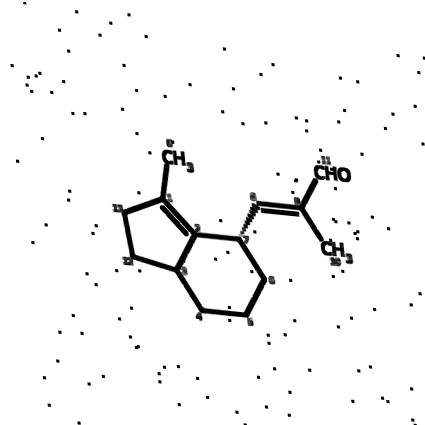 CC1=C2C(CCC[C@H]2/C=C(\C)C=O)CC1